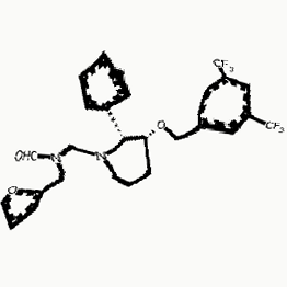 O=CN(Cc1ccco1)CN1CCC[C@@H](OCc2cc(C(F)(F)F)cc(C(F)(F)F)c2)[C@H]1c1ccccc1